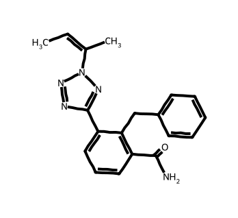 C/C=C(/C)n1nnc(-c2cccc(C(N)=O)c2Cc2ccccc2)n1